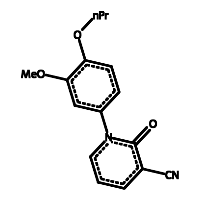 CCCOc1ccc(-n2cccc(C#N)c2=O)cc1OC